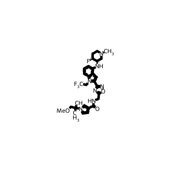 COCC(C)(C)n1ccc(C(=O)NCc2nc(-c3cc4c(N[C@@H]5CN(C)CC[C@@H]5F)cccc4n3CC(F)(F)F)no2)c1